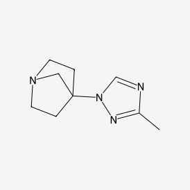 Cc1ncn(C23CCN(CC2)C3)n1